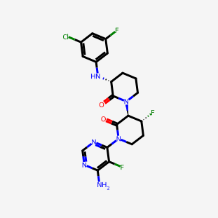 Nc1ncnc(N2CC[C@@H](F)[C@H](N3CCC[C@@H](Nc4cc(F)cc(Cl)c4)C3=O)C2=O)c1F